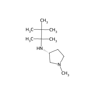 CN1CC[C@@H](NC(C)(C)C(C)(C)C)C1